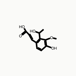 COc1c(O)ccc(C=CC(=O)O)c1C(C)O